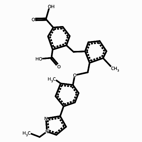 CCn1ccc(-c2ccc(OCc3c(C)cccc3Cc3ccc(C(=O)O)cc3C(=O)O)c(C)c2)n1